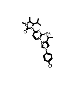 CC(C)C1C(C)N(C)C(=O)N1c1ccnc(N[C@@H](C)c2cn(-c3ccc(Cl)cc3)cn2)n1